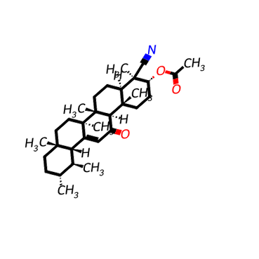 CC(=O)O[C@@H]1CC[C@]2(C)[C@H]3C(=O)C=C4[C@@H]5[C@@H](C)[C@H](C)CC[C@]5(C)CC[C@@]4(C)[C@]3(C)CC[C@H]2[C@@]1(C)C#N